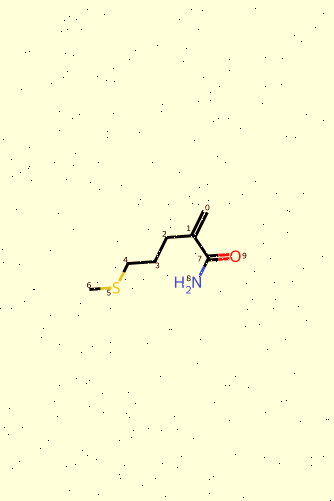 C=C(CCCSC)C(N)=O